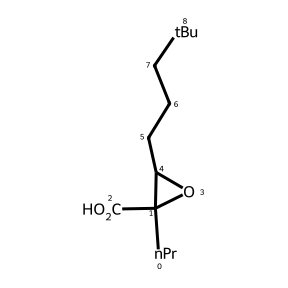 CCCC1(C(=O)O)OC1CCCC(C)(C)C